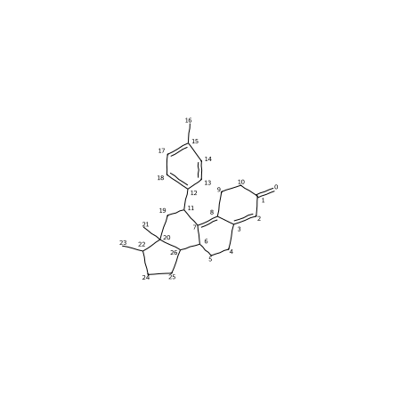 C=C1C=C2CCC3C(=C2CC1)C(c1ccc(C)cc1)CC1(C)C(C)CCC31